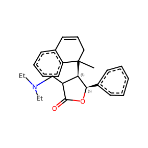 CCN(CC)CC1C(=O)O[C@H](c2ccccc2)[C@@H]1C1(C)CC=Cc2ccccc21